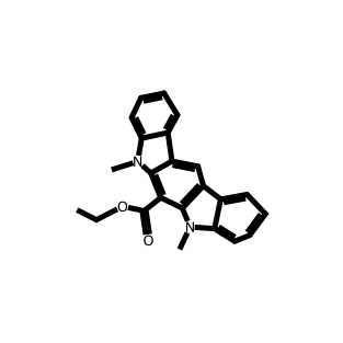 CCOC(=O)c1c2c(cc3c4ccccc4n(C)c13)c1ccccc1n2C